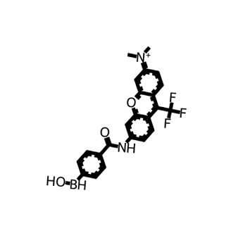 C[N+](C)=c1ccc2c(C(F)(F)F)c3ccc(NC(=O)c4ccc(BO)cc4)cc3oc-2c1